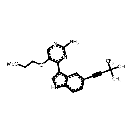 COCCOc1cnc(N)nc1-c1c[nH]c2ccc(C#CC(C)(O)C(F)(F)F)cc12